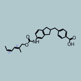 C/C=C\C=C(/C)COC(=O)Nc1ccc2c(c1)CC(Cc1ccc(C(=O)O)cc1)C2